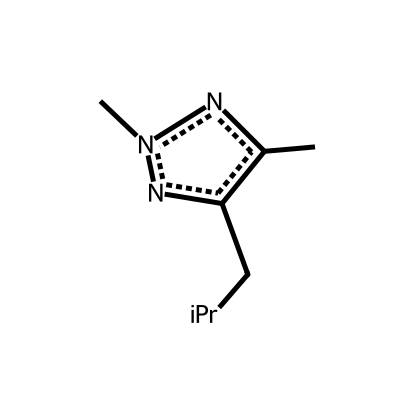 Cc1nn(C)nc1CC(C)C